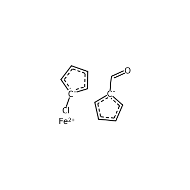 Cl[c-]1cccc1.O=C[c-]1cccc1.[Fe+2]